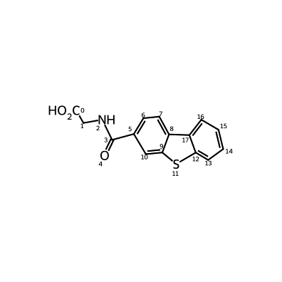 O=C(O)CNC(=O)c1ccc2c(c1)sc1ccccc12